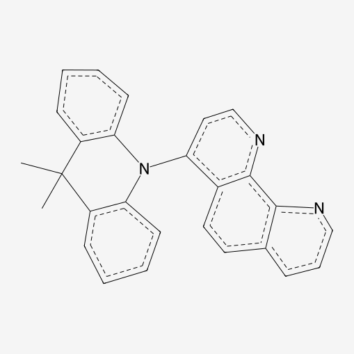 CC1(C)c2ccccc2N(c2ccnc3c2ccc2cccnc23)c2ccccc21